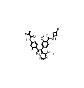 C=C(F)C(=O)Nc1ccc(-c2nn3ncnc(N)c3c2-c2ccc(C(=O)NC3CC(F)C3)c(OC)c2)c(F)c1